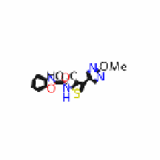 COc1ncc(-c2csc(NC(=O)c3nc4ccccc4o3)c2C(=O)O)cn1